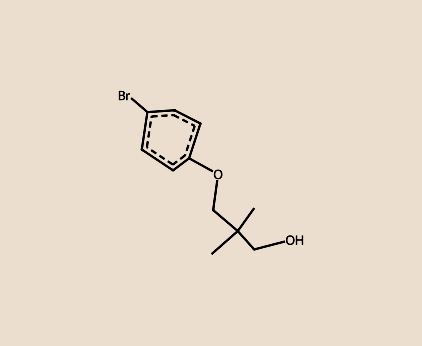 CC(C)(CO)COc1ccc(Br)cc1